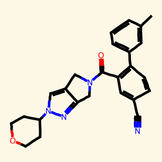 Cc1cccc(-c2ccc(C#N)cc2C(=O)N2Cc3cn(C4CCOCC4)nc3C2)c1